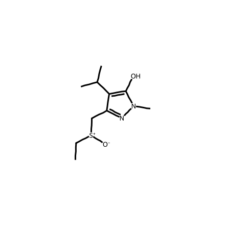 CC[S+]([O-])Cc1nn(C)c(O)c1C(C)C